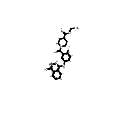 CCNC(=O)C1CCN(C(=O)c2cc(Oc3n[nH]c(=O)c4ccccc34)ccc2F)CC1